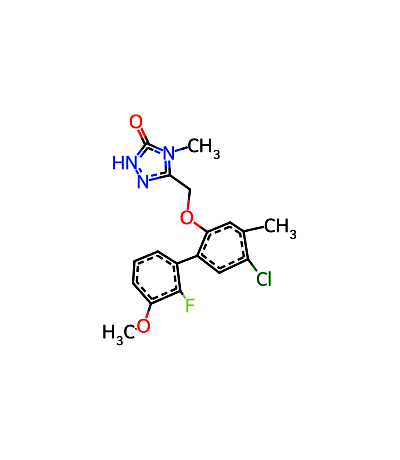 COc1cccc(-c2cc(Cl)c(C)cc2OCc2n[nH]c(=O)n2C)c1F